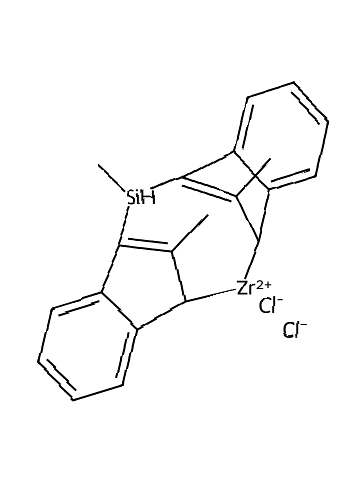 CC1=C2c3ccccc3[CH]1[Zr+2][CH]1C(C)=C(c3ccccc31)[SiH]2C.[Cl-].[Cl-]